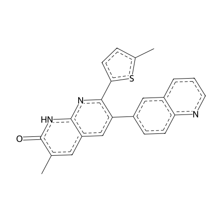 Cc1ccc(-c2nc3[nH]c(=O)c(C)cc3cc2-c2ccc3ncccc3c2)s1